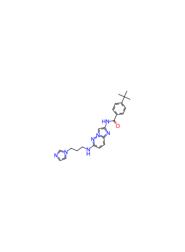 CC(C)(C)c1ccc(C(=O)Nc2cn3nc(NCCCn4ccnc4)ccc3n2)cc1